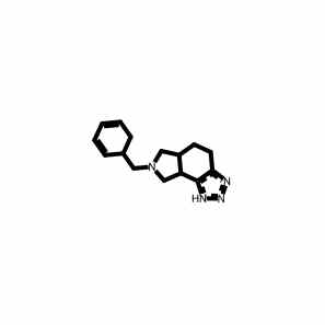 C1=CCC(CN2CC3CCc4nn[nH]c4C3C2)C=C1